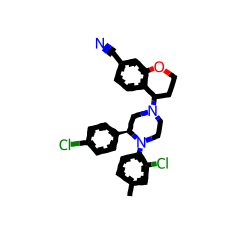 Cc1ccc(N2CCN(C3CCOc4cc(C#N)ccc43)C[C@@H]2c2ccc(Cl)cc2)c(Cl)c1